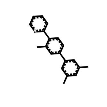 Cc1cc(C)cc(-c2ccc(-c3ccccn3)c(C)c2)c1